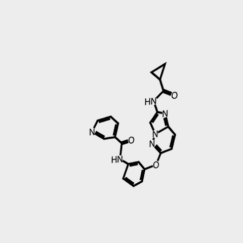 O=C(Nc1cccc(Oc2ccc3nc(NC(=O)C4CC4)cn3n2)c1)c1cccnc1